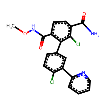 CONC(=O)c1ccc(C(N)=O)c(Cl)c1-c1ccc(Cl)c(-c2ccccn2)c1